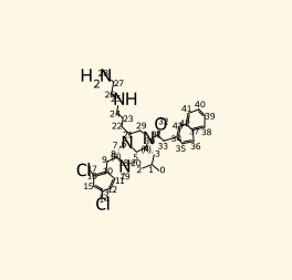 CC(C)C[C@@H]1CN(C[C@@H](Cc2ccc(Cl)cc2Cl)N(C)C)C(CCCNCCN)CN1C(=O)Cc1ccc2ccccc2c1